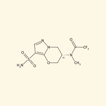 CN(C(=O)C(F)(F)F)[C@@H]1COc2c(S(N)(=O)=O)cnn2C1